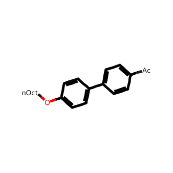 CCCCCCCCOc1ccc(-c2ccc(C(C)=O)cc2)cc1